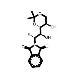 CC1(C)OC[C@@H](O)[C@H]([C@@H](O)[C@@H](F)N2C(=O)c3ccccc3C2=O)O1